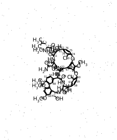 CN[C@H](CC(C)C)C(=O)N[C@H]1C(=O)N[C@@H](CC(N)=O)C(=O)N[C@H]2C(=S)N[C@H]3C(=O)N[C@H](C(=O)N[C@H](CO)c4cc(OC)cc(OC)c4-c4cc3ccc4OC)[C@H](O)c3ccc(c(Cl)c3)Oc3cc2cc(c3OC)Oc2ccc(cc2Cl)[C@H]1O